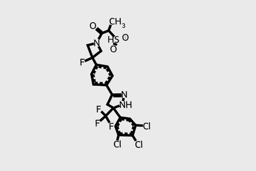 CC(C(=O)N1CC(F)(c2ccc(C3=NNC(c4cc(Cl)c(Cl)c(Cl)c4)(C(F)(F)F)C3)cc2)C1)[SH](=O)=O